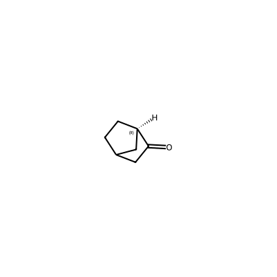 O=C1CC2CC[C@@H]1C2